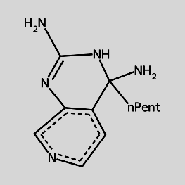 CCCCCC1(N)NC(N)=Nc2cnccc21